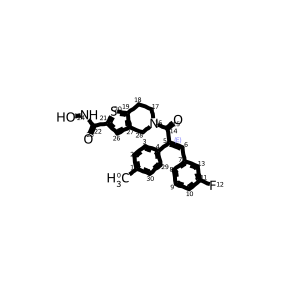 Cc1ccc(/C(=C\c2cccc(F)c2)C(=O)N2CCc3sc(C(=O)NO)cc3C2)cc1